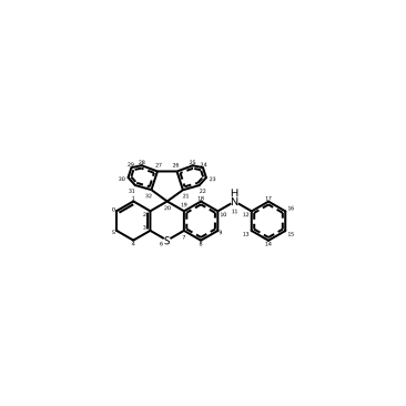 C1=CC2=C(CC1)Sc1ccc(Nc3ccccc3)cc1C21c2ccccc2-c2ccccc21